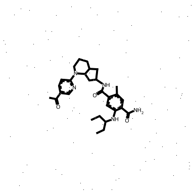 CCC(CC)Nc1cc(C(=O)NC2CC3CCCN(c4ccc(C(C)=O)cn4)C3C2)c(C)cc1C(N)=O